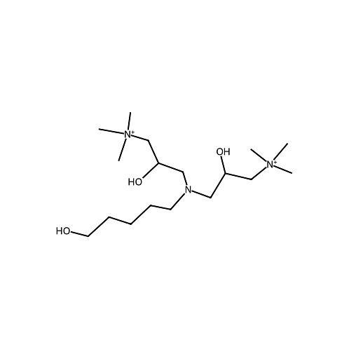 C[N+](C)(C)CC(O)CN(CCCCCO)CC(O)C[N+](C)(C)C